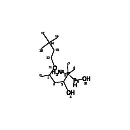 CC(CC(O)P(C)(C)(N)PO)OCCC(C)(C)C